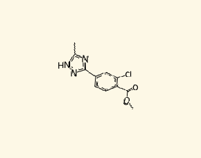 COC(=O)c1ccc(-c2n[nH]c(C)n2)cc1Cl